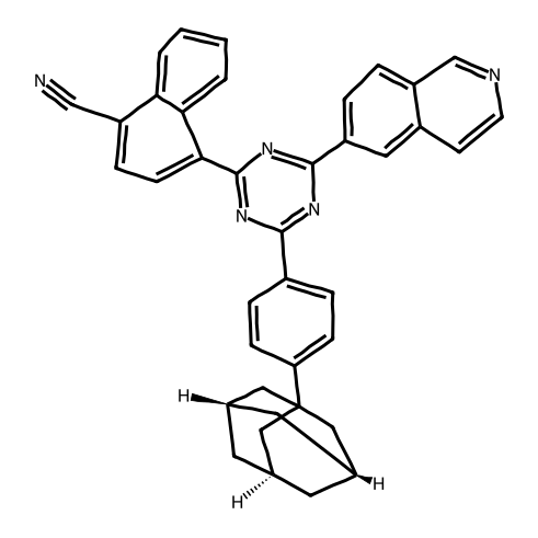 N#Cc1ccc(-c2nc(-c3ccc(C45C[C@H]6C[C@@H](C4)C[C@@H](C5)C6)cc3)nc(-c3ccc4cnccc4c3)n2)c2ccccc12